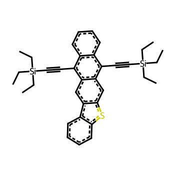 CC[Si](C#Cc1c2ccccc2c(C#C[Si](CC)(CC)CC)c2cc3c(cc12)sc1ccccc13)(CC)CC